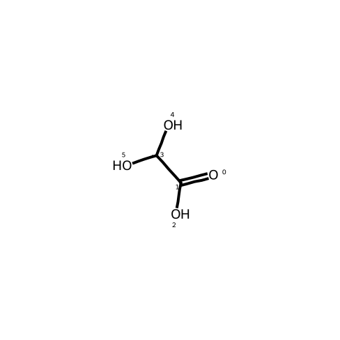 O=C(O)[C](O)O